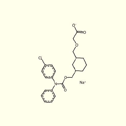 O=C([O-])COCC1CCCC(COC(=O)N(c2ccccc2)c2ccc(Cl)cc2)C1.[Na+]